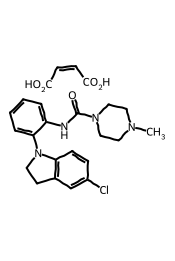 CN1CCN(C(=O)Nc2ccccc2N2CCc3cc(Cl)ccc32)CC1.O=C(O)/C=C\C(=O)O